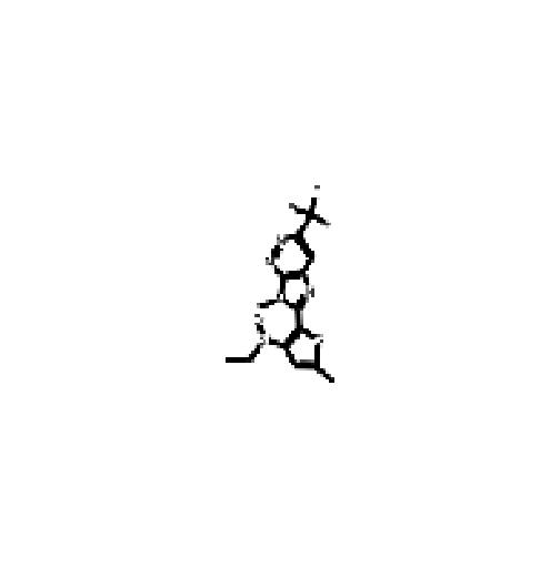 CC[S+]([O-])c1cc(C)sc1-c1nc2cc(C(F)(F)F)nnc2n1C